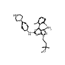 COC(C)(C)CCn1nc(N)c2c(-c3c(C)cccc3C)nc(Nc3ccc(N4CCNCC4)cc3)nc21